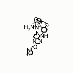 C[C@H]1C[C@@H]2[C@](C)(N=C(N)C(C)(C)S2(=O)=O)c2cc(Nc3nccc4nc(OCc5ccn(C)n5)cnc34)ccc2O1